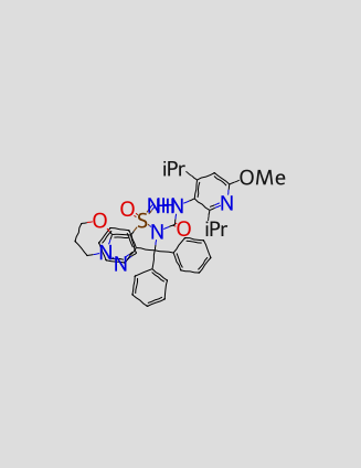 COc1cc(C(C)C)c(NC(=O)N(C(c2ccccc2)(c2ccccc2)c2ccccc2)S(=N)(=O)c2cnn3c2OCCC3)c(C(C)C)n1